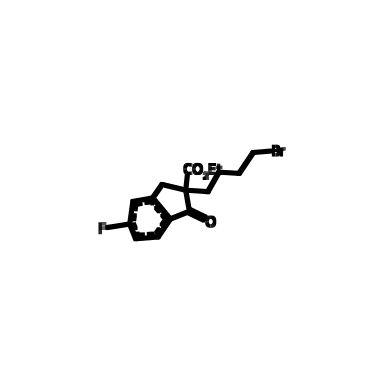 CCOC(=O)C1(CCCCBr)Cc2cc(F)ccc2C1=O